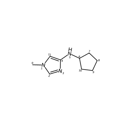 Cn1cnc(NC2CCCC2)c1